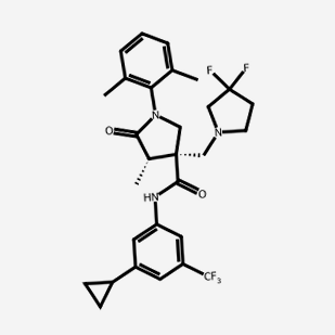 Cc1cccc(C)c1N1C[C@@](CN2CCC(F)(F)C2)(C(=O)Nc2cc(C3CC3)cc(C(F)(F)F)c2)[C@H](C)C1=O